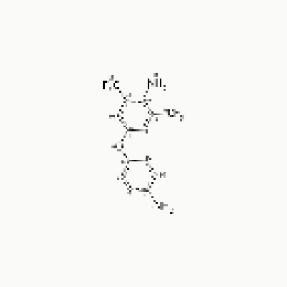 Nc1ccc(Oc2cc(C(F)(F)F)c(N)c(C(F)(F)F)c2)cc1